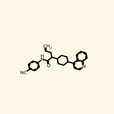 C=CCC(C(=O)Nc1ccc(C#N)cc1)C1CCC(c2ccnc3ccccc23)CC1